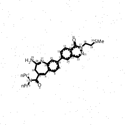 CCCN(CCC)C(=O)C1=Cc2ccc(-c3ccc4c(=O)n(CCSC)ncc4c3)cc2N=C(N)C1